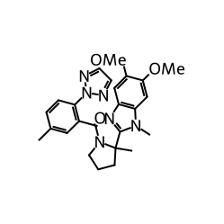 COc1cc2nc(C3(C)CCCN3C(=O)c3cc(C)ccc3-n3nccn3)n(C)c2cc1OC